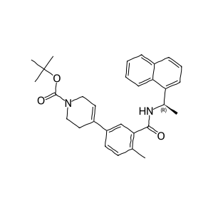 Cc1ccc(C2=CCN(C(=O)OC(C)(C)C)CC2)cc1C(=O)N[C@H](C)c1cccc2ccccc12